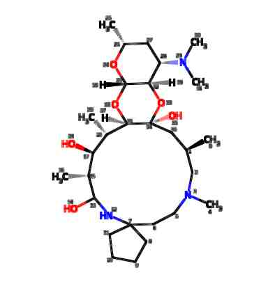 C[C@H]1CN(C)CCC2(CCCC2)NC(O)[C@H](C)[C@@H](O)[C@H](C)[C@H]2O[C@@H]3O[C@H](C)C[C@H](N(C)C)[C@H]3O[C@@]2(O)C1